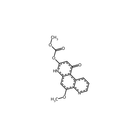 COC(=O)Oc1cc(=O)c2c(cc(OC)c3ncccc32)[nH]1